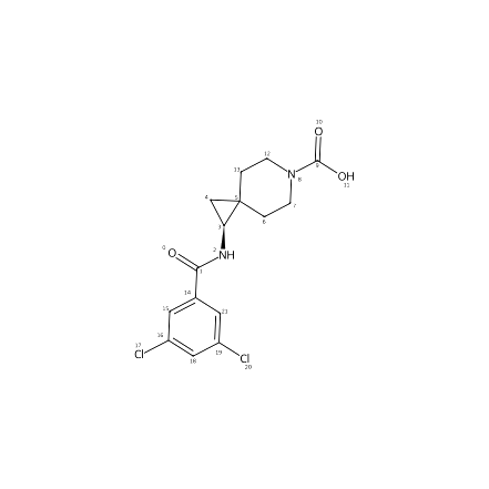 O=C(N[C@H]1CC12CCN(C(=O)O)CC2)c1cc(Cl)cc(Cl)c1